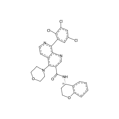 O=C(N[C@H]1CCOc2ccccc21)c1cnc2c(-c3cc(Cl)cc(Cl)c3Cl)nccc2c1N1CCOCC1